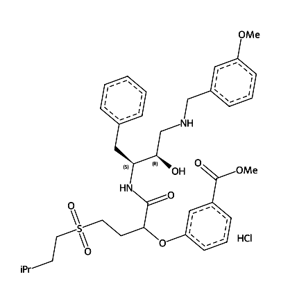 COC(=O)c1cccc(OC(CCS(=O)(=O)CCC(C)C)C(=O)N[C@@H](Cc2ccccc2)[C@H](O)CNCc2cccc(OC)c2)c1.Cl